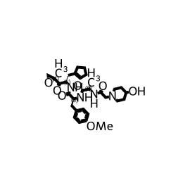 COc1ccc(C[C@H](NC(=O)[C@H](C)NC(=O)CN2CCC(O)CC2)C(=O)N[C@@H](CC2=CCCC2)C(=O)[C@]2(C)CO2)cc1